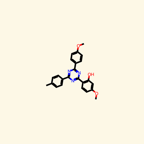 COc1ccc(-c2nc(-c3ccc(C)cc3)nc(-c3ccc(OC)cc3O)n2)cc1